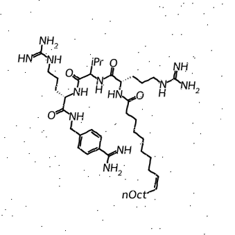 CCCCCCCC/C=C\CCCCCCCC(=O)N[C@@H](CCCNC(=N)N)C(=O)NC(C(=O)N[C@@H](CCCNC(=N)N)C(=O)NCc1ccc(C(=N)N)cc1)C(C)C